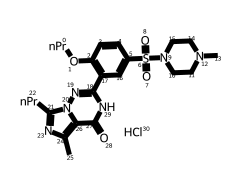 CCCOc1ccc(S(=O)(=O)N2CCN(C)CC2)cc1-c1nn2c(CCC)nc(C)c2c(=O)[nH]1.Cl